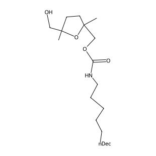 CCCCCCCCCCCCCCCNC(=O)OCC1(C)CCC(C)(CO)O1